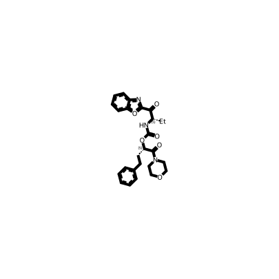 CC[C@H](NC(=O)O[C@@H](CCc1ccccc1)C(=O)N1CCOCC1)C(=O)c1nc2ccccc2o1